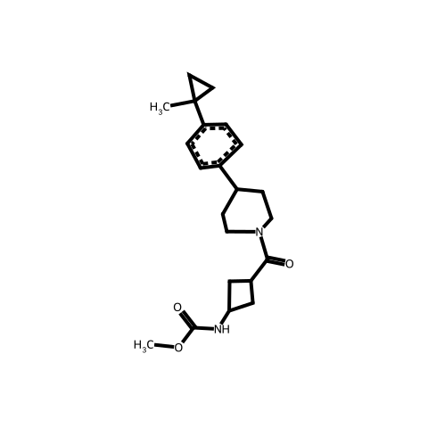 COC(=O)NC1CC(C(=O)N2CCC(c3ccc(C4(C)CC4)cc3)CC2)C1